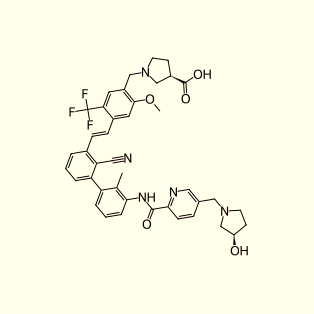 COc1cc(/C=C/c2cccc(-c3cccc(NC(=O)c4ccc(CN5CC[C@@H](O)C5)cn4)c3C)c2C#N)c(C(F)(F)F)cc1CN1CC[C@@H](C(=O)O)C1